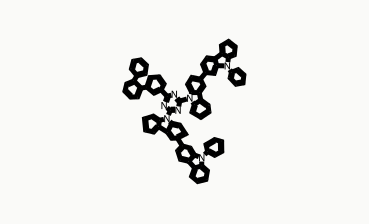 c1ccc(-c2ccccc2-c2cccc(-c3nc(-n4c5ccccc5c5cc(-c6ccc7c8ccccc8n(-c8ccccc8)c7c6)ccc54)nc(-n4c5ccccc5c5cc(-c6ccc7c8ccccc8n(-c8ccccc8)c7c6)ccc54)n3)c2)cc1